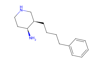 N[C@H]1CCNC[C@H]1CCCCc1ccccc1